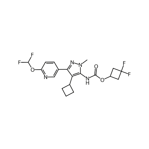 Cn1nc(-c2ccc(OC(F)F)nc2)c(C2CCC2)c1NC(=O)OC1CC(F)(F)C1